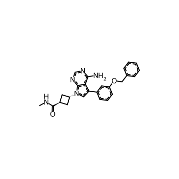 CNC(=O)[C@H]1C[C@H](n2cc(-c3cccc(OCc4ccccc4)c3)c3c(N)ncnc32)C1